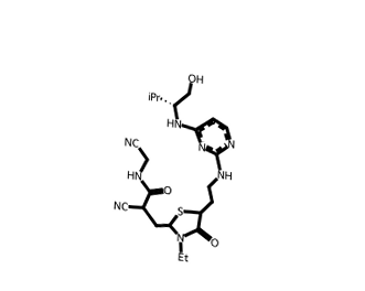 CCN1C(=O)C(CCNc2nccc(N[C@@H](CO)C(C)C)n2)SC1CC(C#N)C(=O)NCC#N